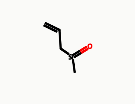 C=CC[Si](C)=O